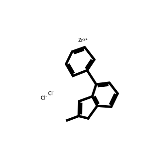 CC1=Cc2c(cccc2-c2ccccc2)C1.[Cl-].[Cl-].[Zr+2]